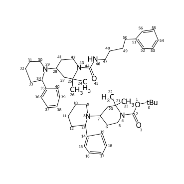 CC(C)(C)OC(=O)N1CCC(N2CCCCC2c2ccccc2)CC1(C)C.CC1(C)CC(N2CCCCC2c2ccccc2)CCN1C(=O)NCCCCc1ccccc1